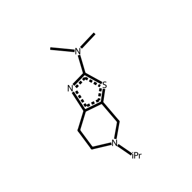 CC(C)N1CCc2nc(N(C)C)sc2C1